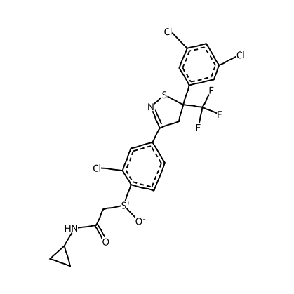 O=C(C[S+]([O-])c1ccc(C2=NSC(c3cc(Cl)cc(Cl)c3)(C(F)(F)F)C2)cc1Cl)NC1CC1